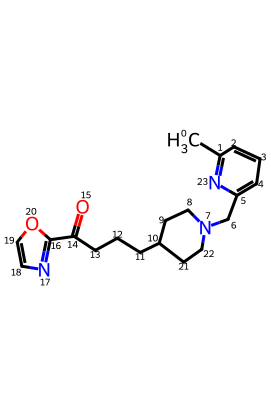 Cc1cccc(CN2CCC(CCCC(=O)c3ncco3)CC2)n1